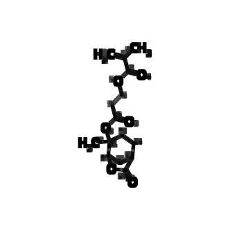 C=C(C)C(=O)OCCC(=O)OC1(C)CCC2CC1OC2=O